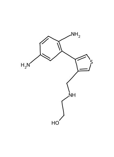 Nc1ccc(N)c(-c2cscc2CNCCO)c1